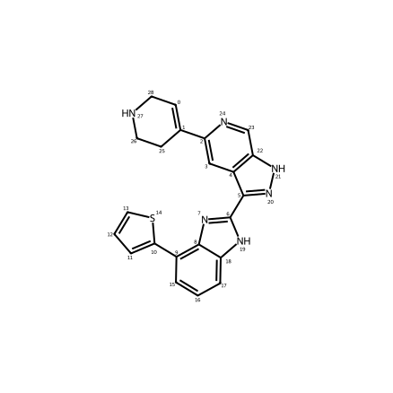 C1=C(c2cc3c(-c4nc5c(-c6cccs6)cccc5[nH]4)n[nH]c3cn2)CCNC1